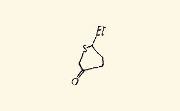 CCC1CCC(=O)CS1